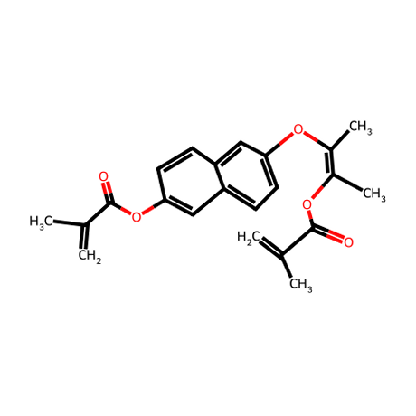 C=C(C)C(=O)OC(C)=C(C)Oc1ccc2cc(OC(=O)C(=C)C)ccc2c1